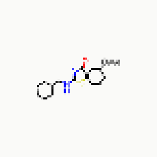 COC1CCCC2(C1)SC(NCC1CCCCC1)=NC2=O